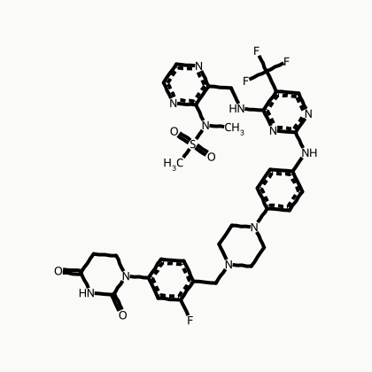 CN(c1nccnc1CNc1nc(Nc2ccc(N3CCN(Cc4ccc(N5CCC(=O)NC5=O)cc4F)CC3)cc2)ncc1C(F)(F)F)S(C)(=O)=O